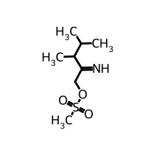 CC(C)C(C)C(=N)COS(C)(=O)=O